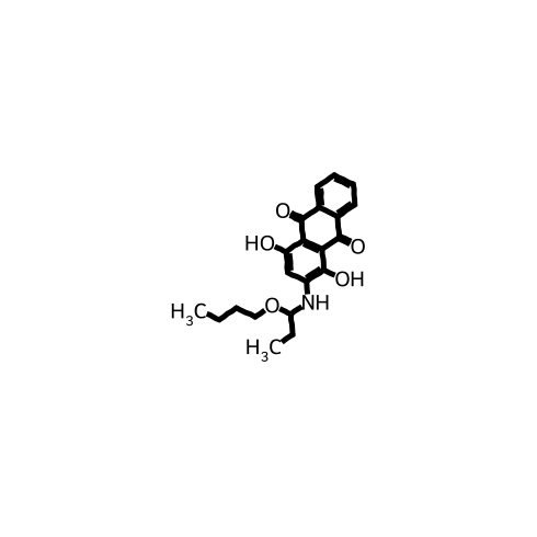 CCCCOC(CC)Nc1cc(O)c2c(c1O)C(=O)c1ccccc1C2=O